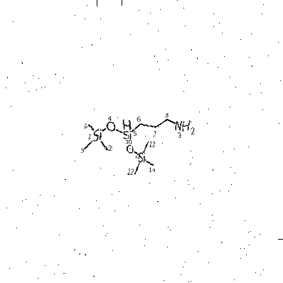 C[Si](C)(C)O[SiH](CCCN)O[Si](C)(C)C